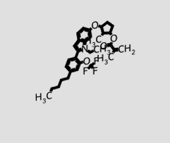 C=C(C)C(=O)OC1CCC(Oc2ccc3cc(-c4ccc(CCCCC)cc4OC(F)(F)F)n(CC)c3c2)C1C